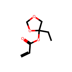 C=CC(=O)OC1(CC)COCO1